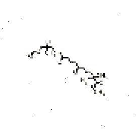 COC(=O)C(C)(C)CCCC(=O)CCCC(=O)CCCC(C)(C)COC=O